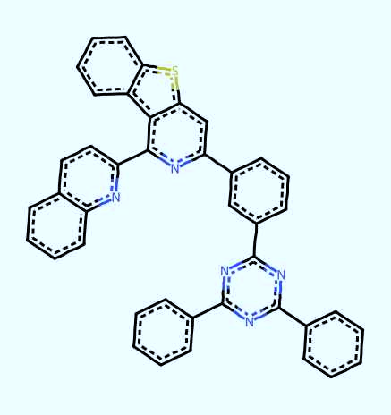 c1ccc(-c2nc(-c3ccccc3)nc(-c3cccc(-c4cc5sc6ccccc6c5c(-c5ccc6ccccc6n5)n4)c3)n2)cc1